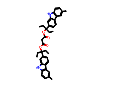 CCC(CC)(OC(=O)CC(=O)OC(CC)(CC)c1ccc2c(c1)[nH]c1ccc(C)cc12)c1ccc2c(c1)[nH]c1ccc(C)cc12